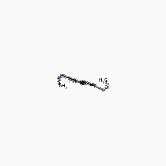 CCCCC/C=C\C/C=C\CCCCCCCCNCCCCN1CCN(CCCCNCCCCCCCC/C=C\C/C=C\CCCCC)CC1